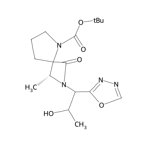 CC(O)C(c1nnco1)N1C(=O)C2(CCCN2C(=O)OC(C)(C)C)[C@H]1C